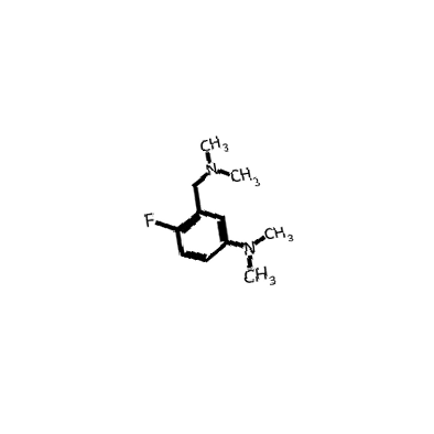 CN(C)Cc1cc(N(C)C)ccc1F